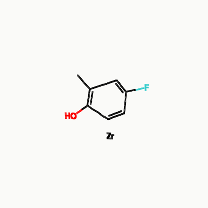 Cc1cc(F)ccc1O.[Zr]